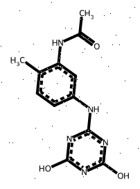 CC(=O)Nc1cc(Nc2nc(O)nc(O)n2)ccc1C